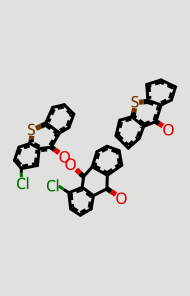 O=C1c2ccccc2C(=O)c2c(Cl)cccc21.O=c1c2ccccc2sc2ccc(Cl)cc12.O=c1c2ccccc2sc2ccccc12